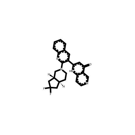 O=c1cc(-c2cc3ccccc3nc2N2CC[C@H]3CC(F)(F)C[C@@H]3C2)[nH]c2ccncc12